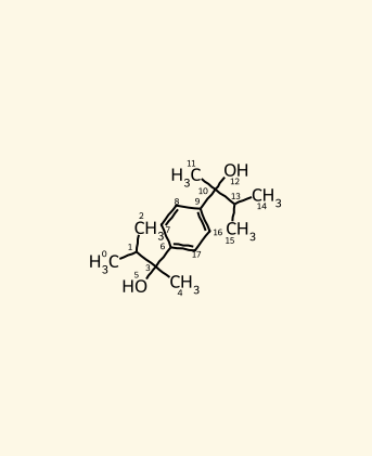 CC(C)C(C)(O)c1ccc(C(C)(O)C(C)C)cc1